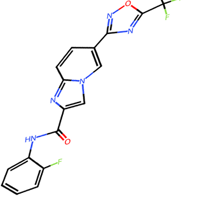 O=C(Nc1ccccc1F)c1cn2cc(-c3noc(C(F)(F)F)n3)ccc2n1